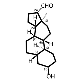 C[C@]12CC[C@H]3[C@@H](CC[C@H]4C[C@H](O)CC[C@@H]43)[C@@H]1CC[C@@H]2C=O